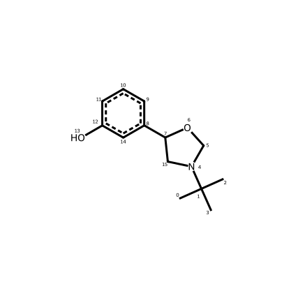 CC(C)(C)N1COC(c2cccc(O)c2)C1